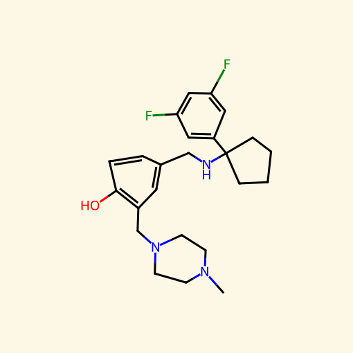 CN1CCN(Cc2cc(CNC3(c4cc(F)cc(F)c4)CCCC3)ccc2O)CC1